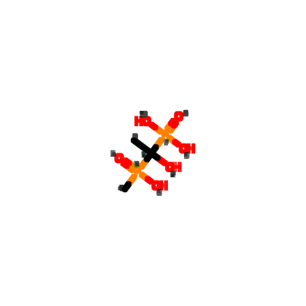 CC(O)(P(C)(=O)O)P(=O)(O)O